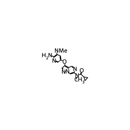 CNc1cc(Oc2cnn3cc(N(C)C(=O)C4CC4)ncc23)cnc1N